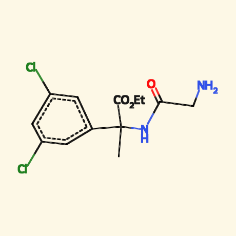 CCOC(=O)C(C)(NC(=O)CN)c1cc(Cl)cc(Cl)c1